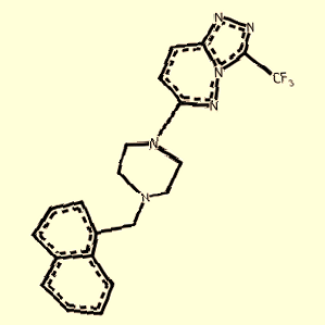 FC(F)(F)c1nnc2ccc(N3CCN(Cc4cccc5ccccc45)CC3)nn12